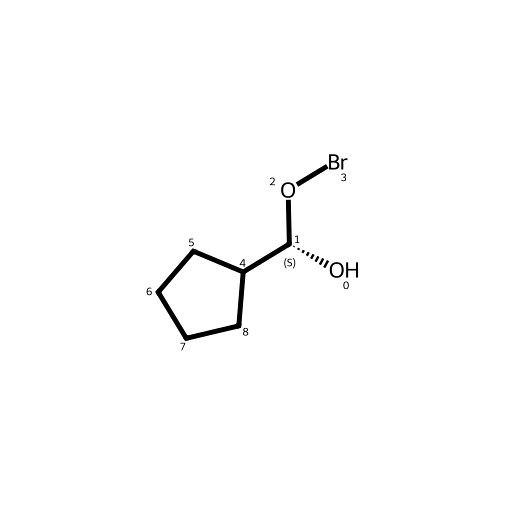 O[C@@H](OBr)C1CCCC1